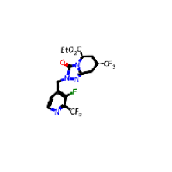 CCOC(=O)[C@H]1C[C@@H](C(F)(F)F)Cc2nn(Cc3ccnc(C(F)(F)F)c3F)c(=O)n21